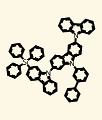 c1ccc(-c2cccc(-n3c4ccc(-n5c6ccccc6c6ccccc65)cc4c4ccc(-n5c6ccccc6c6ccc([Si](c7ccccc7)(c7ccccc7)c7ccccc7)cc65)cc43)c2)cc1